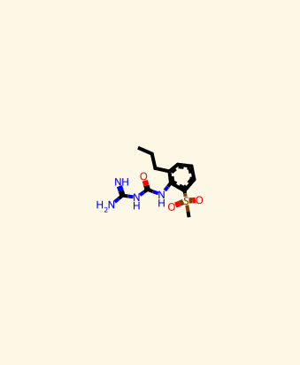 CCCc1cccc(S(C)(=O)=O)c1NC(=O)NC(=N)N